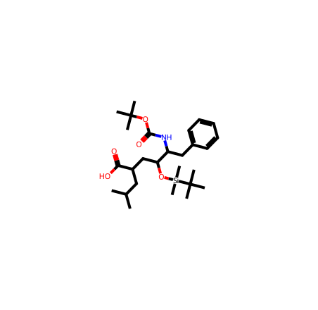 CC(C)CC(CC(O[Si](C)(C)C(C)(C)C)C(Cc1ccccc1)NC(=O)OC(C)(C)C)C(=O)O